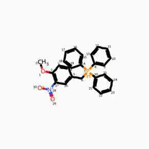 COc1ccc(C[PH](c2ccccc2)(c2ccccc2)c2ccccc2)cc1[N+](=O)[O-]